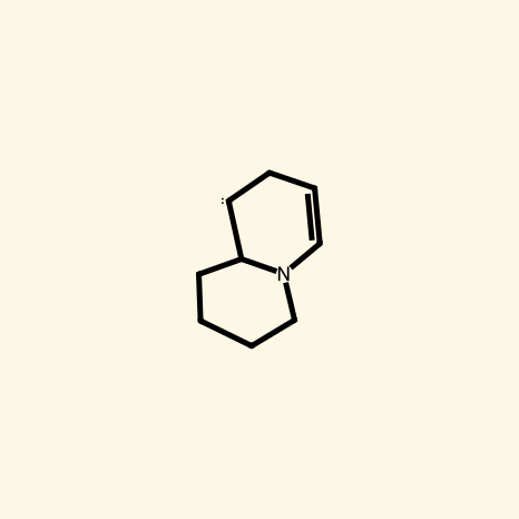 [C]1CC=CN2CCCCC12